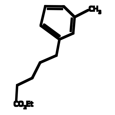 CCOC(=O)CCCCc1cccc(C)c1